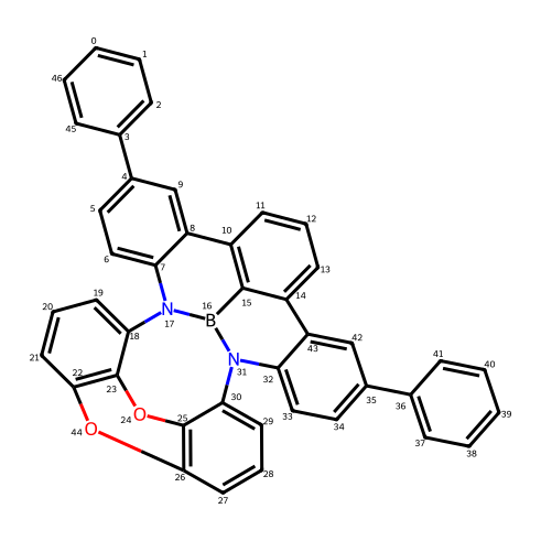 c1ccc(-c2ccc3c(c2)-c2cccc4c2B2N3c3cccc5c3Oc3c(cccc3N2c2ccc(-c3ccccc3)cc2-4)O5)cc1